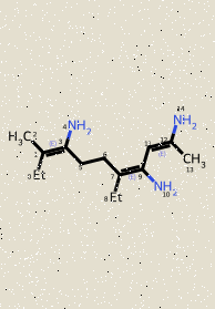 CC/C(C)=C(/N)CC/C(CC)=C(N)\C=C(/C)N